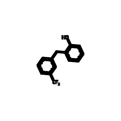 Oc1ccccc1Cc1cccc(C(F)(F)F)c1